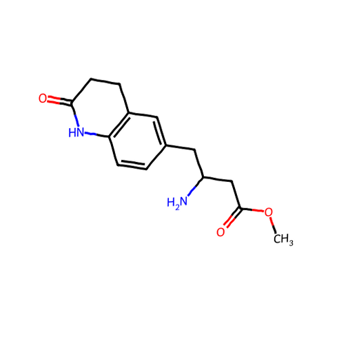 COC(=O)CC(N)Cc1ccc2c(c1)CCC(=O)N2